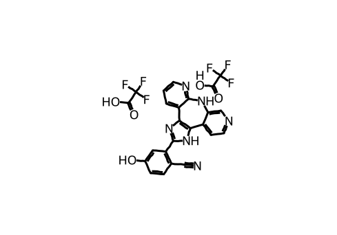 N#Cc1ccc(O)cc1-c1nc2c([nH]1)-c1ccncc1Nc1ncccc1-2.O=C(O)C(F)(F)F.O=C(O)C(F)(F)F